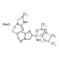 CO[C@@H](Cc1cnn2cc([C@@](N)(OC(=O)C(F)(F)F)[C@@H](C)O[C@H](C)C(F)(F)F)nc2c1)N1C[C@@H](C(F)(F)F)NC1=O